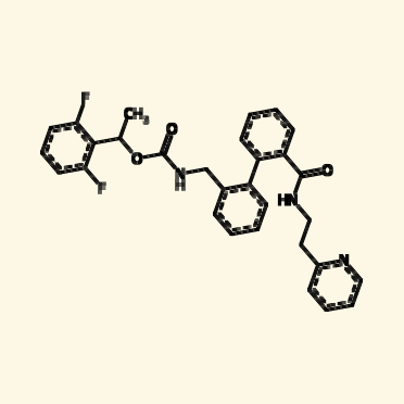 CC(OC(=O)NCc1ccccc1-c1ccccc1C(=O)NCCc1ccccn1)c1c(F)cccc1F